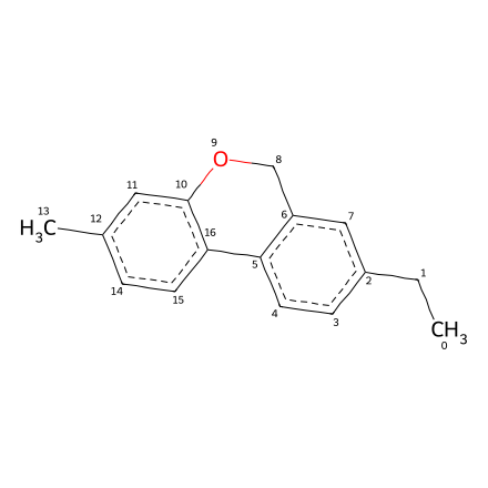 CCc1ccc2c(c1)COc1cc(C)ccc1-2